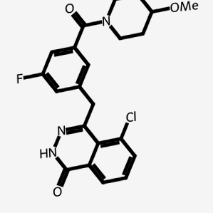 COC1CCN(C(=O)c2cc(F)cc(Cc3n[nH]c(=O)c4cccc(Cl)c34)c2)CC1